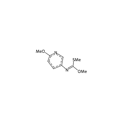 CO/C(=N/c1ccc(OC)nc1)SC